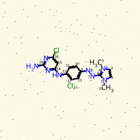 Cn1cc[n+](C)c1/N=N/c1ccc(Nc2cc(Cl)nc(N)n2)cc1.[Cl-]